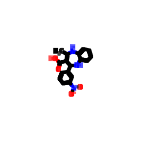 CC1=C(C(=O)O)C(c2cccc([N+](=O)[O-])c2)Nc2ccccc2N1